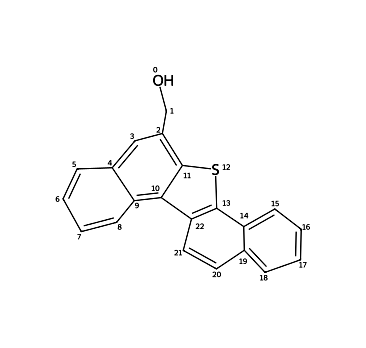 OCc1cc2ccccc2c2c1sc1c3ccccc3ccc12